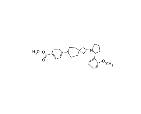 COC(=O)c1ccc(N2CCC3(CC2)CC(N2CCCC2c2ccccc2OC)C3)cc1